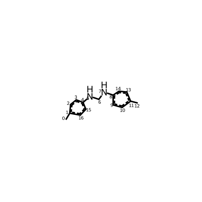 Cc1ccc(NCNc2ccc(C)cc2)cc1